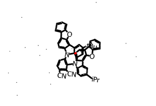 CC(C)c1ccc2c(c1)c1c3oc4ccccc4c3ccc1n2-c1c(-n2c3ccc(C(C)(C)C)cc3c3c4oc5ccccc5c4ccc32)ccc(C#N)c1C#N